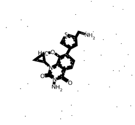 COc1c(-c2csc(CN)c2)ccc2c(=O)n(N)c(=O)n(C3CC3)c12